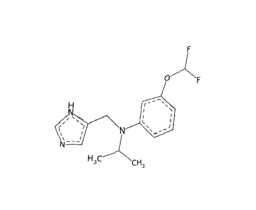 CC(C)N(Cc1cnc[nH]1)c1cccc(OC(F)F)c1